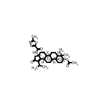 CC(=O)O[C@H]1CC[C@]2(C)[C@H]3CC[C@@H]4C5=C(C(C)C)C(=O)C[C@]5(NC(=O)c5nnc(C)o5)CC[C@@]4(C)[C@]3(C)CC[C@H]2C1(C)C